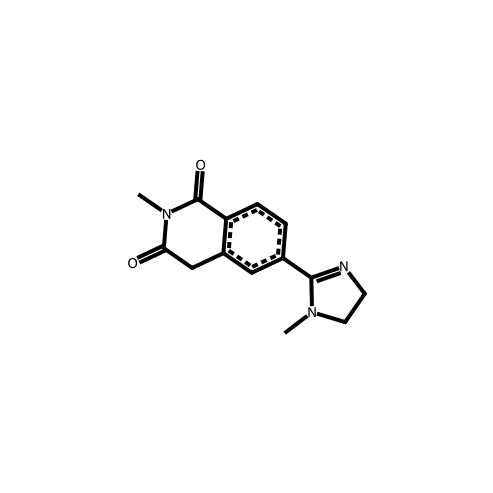 CN1CCN=C1c1ccc2c(c1)CC(=O)N(C)C2=O